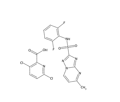 Cc1ccn2nc(S(=O)(=O)Nc3c(F)cccc3F)nc2n1.O=C(O)c1nc(Cl)ccc1Cl